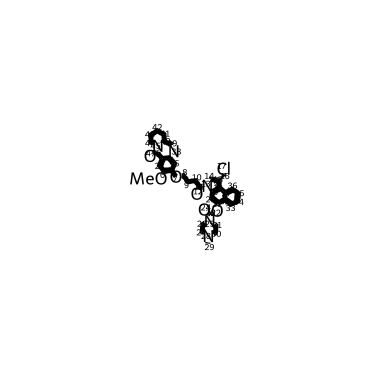 COc1cc2c(cc1OCCCC(=O)N1C[C@@H](CCl)c3c1cc(OC(=O)N1CCN(C)CC1)c1ccccc31)N=CC1CCCCN1C2=O